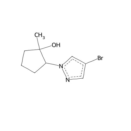 CC1(O)CCCC1n1cc(Br)cn1